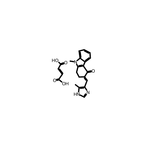 Cc1[nH]cnc1C=C1CCc2c(c3ccccc3n2C)C1=O.O=C(O)C=CC(=O)O